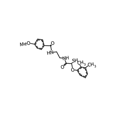 COc1ccc(C(=O)NCCNC(=O)C(S)Oc2cccc(C)c2C)cc1